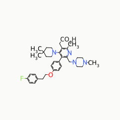 Cc1nc(CN2CCN(C)CC2)c(-c2ccc(OCCc3ccc(F)cc3)cc2)c(N2CCC(C)(C)CC2)c1CC(=O)O